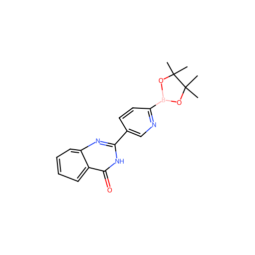 CC1(C)OB(c2ccc(-c3nc4ccccc4c(=O)[nH]3)cn2)OC1(C)C